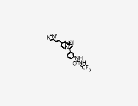 Cl.Cn1cncc1/C=C/c1ccn2c(-c3cccc(NC(=O)NCC(F)(F)F)c3)cnc2c1